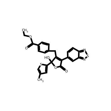 CCOC(=O)c1ccc(CC2=C(c3ccc4nsnc4c3)C(=O)OC2(O)c2cc(C)cs2)cc1